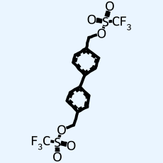 O=S(=O)(OCc1ccc(-c2ccc(COS(=O)(=O)C(F)(F)F)cc2)cc1)C(F)(F)F